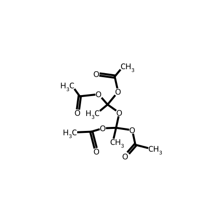 CC(=O)OC(C)(OC(C)=O)OC(C)(OC(C)=O)OC(C)=O